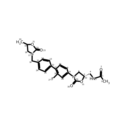 CC(=O)NC[C@H]1CN(c2ccc(-c3ccc(CN4CC(C)OC4=O)cc3)c(F)c2)C(=O)O1